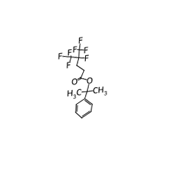 CC(C)(OC(=O)CCC(F)(C(F)(F)F)C(F)(F)F)c1ccccc1